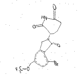 O=C1CCC(N2Cc3cc(OC(F)(F)F)cc(Br)c3C2=O)C(=O)N1